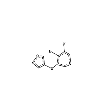 Brc1cccc(Oc2ccoc2)c1Br